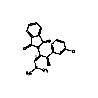 CN(C)/C=C(\C(=O)c1cccc(Cl)c1)N1C(=O)c2ccccc2C1=O